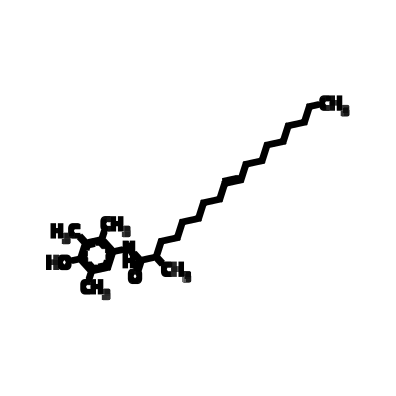 CCCCCCCCC=CCCCCCCC(C)C(=O)Nc1cc(C)c(O)c(C)c1C